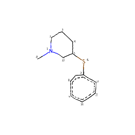 CN1CCCC(Sc2ccccc2)C1